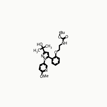 COc1ccc(-n2nc(C(C)(C)O)cc2-c2ccccc2OCCNC(=O)OC(C)(C)C)cn1